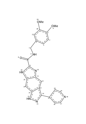 COc1ccc(CNC(=O)c2nc3cc4c(-c5ccncc5)n[nH]c4cc3[nH]2)cc1OC